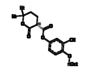 CCCCCCCCOc1ccc(OC(=O)[C@H]2CCC(CC)(CC)OC2=O)cc1C#N